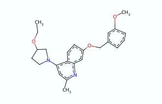 CCOC1CCN(c2cc(C)nc3cc(OCc4cccc(OC)c4)ccc23)C1